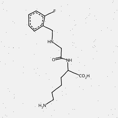 NCCCCC(NC(=O)CNCc1ccccc1F)C(=O)O